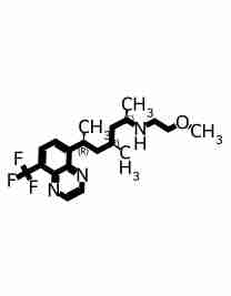 COCCN[C@@H](C)C[C@H](C)C[C@@H](C)c1ccc(C(F)(F)F)c2nccnc12